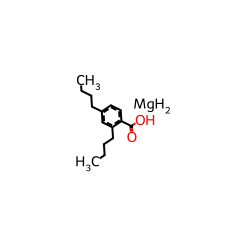 CCCCc1ccc(C(=O)O)c(CCCC)c1.[MgH2]